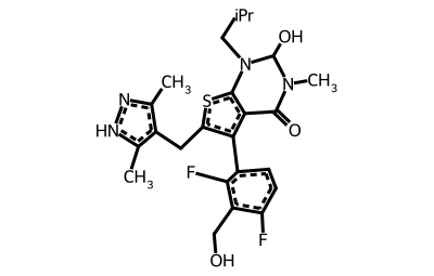 Cc1n[nH]c(C)c1Cc1sc2c(c1-c1ccc(F)c(CO)c1F)C(=O)N(C)C(O)N2CC(C)C